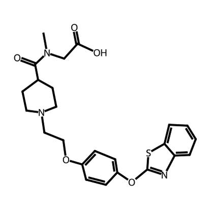 CN(CC(=O)O)C(=O)C1CCN(CCOc2ccc(Oc3nc4ccccc4s3)cc2)CC1